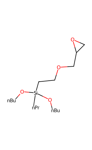 CCCCO[Si](CCC)(CCOCC1CO1)OCCCC